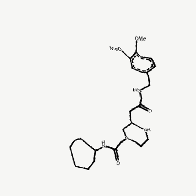 COc1ccc(CNC(=O)CC2CN(C(=O)NC3CCCCC3)CCN2)cc1OC